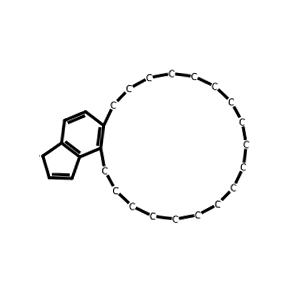 [CH]1C=Cc2c1ccc1c2CCCCCCCCCCCCCCCCCC1